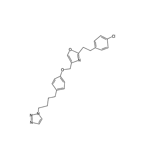 Clc1ccc(CCc2nc(COc3ccc(CCCCn4ccnn4)cc3)co2)cc1